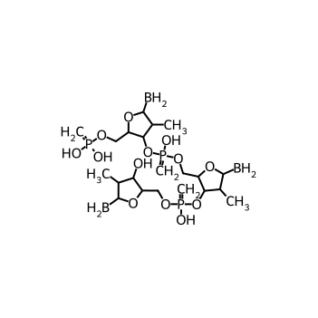 BC1OC(COP(=C)(O)OC2C(COP(=C)(O)OC3C(COP(=C)(O)O)OC(B)C3C)OC(B)C2C)C(O)C1C